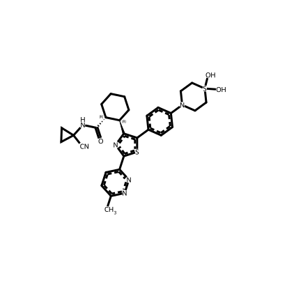 Cc1ccc(-c2nc([C@@H]3CCCC[C@H]3C(=O)NC3(C#N)CC3)c(-c3ccc(N4CCS(O)(O)CC4)cc3)s2)nn1